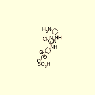 Nc1cccc(Nc2nc(Cl)nc(Nc3ccc(S(=O)(=O)CCOS(=O)(=O)O)cc3)n2)c1